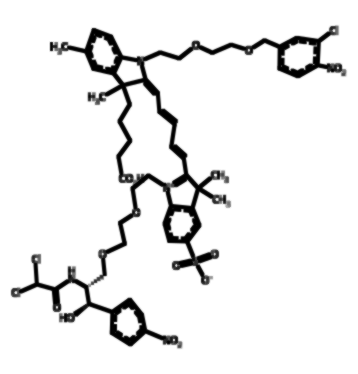 Cc1ccc2c(c1)C(C)(CCCCC(=O)O)\C(=C/C=C/C=C/C1=[N+](CCOCCOC[C@@H](NC(=O)C(Cl)Cl)[C@H](O)c3ccc([N+](=O)[O-])cc3)c3ccc(S(=O)(=O)[O-])cc3C1(C)C)N2CCOCCOCc1ccc([N+](=O)[O-])c(Cl)c1